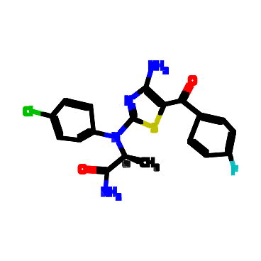 C[C@@H](C(N)=O)N(c1ccc(Cl)cc1)c1nc(N)c(C(=O)c2ccc(F)cc2)s1